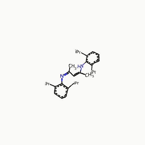 CC(=CC(C)=Nc1c(C(C)C)cccc1C(C)C)Nc1c(C(C)C)cccc1C(C)C